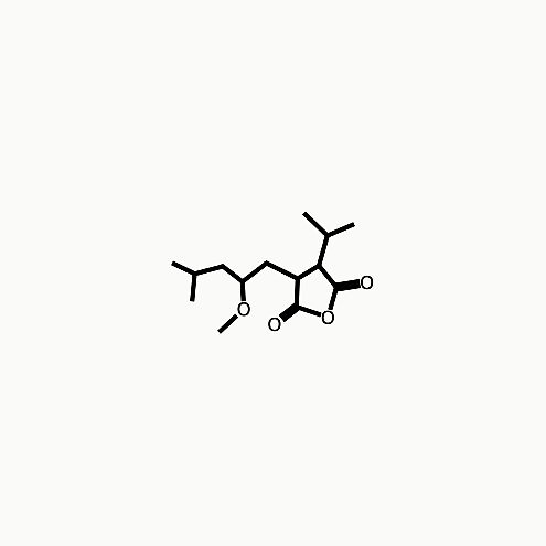 COC(CC(C)C)CC1C(=O)OC(=O)C1C(C)C